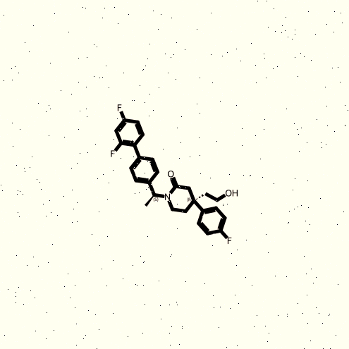 C[C@@H](c1ccc(-c2ccc(F)cc2F)cc1)N1CC[C@](CCO)(c2ccc(F)cc2)CC1=O